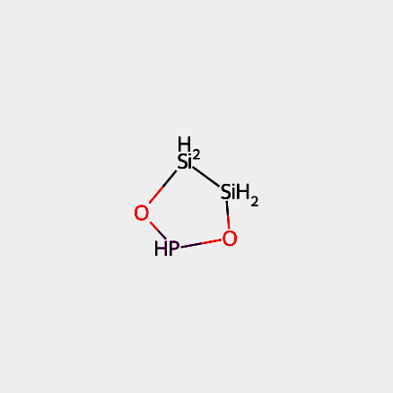 O1[SiH2][SiH2]OP1